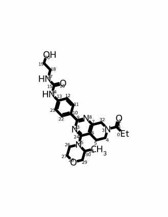 CCC(=O)N1CCc2c(nc(-c3ccc(NC(=O)NCCO)cc3)nc2N2CCOCC2C)C1